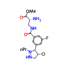 CCCN1NCC(Cl)C1c1cc(F)cc(C(=O)NC[C@@H](N)C(=O)OC)c1